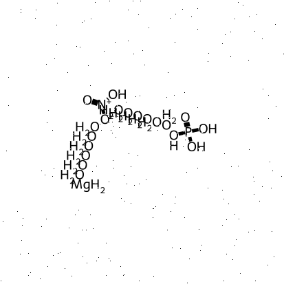 O.O.O.O.O.O.O.O.O.O.O.O.O=P(O)(O)O.O=[N+]([O-])O.[MgH2]